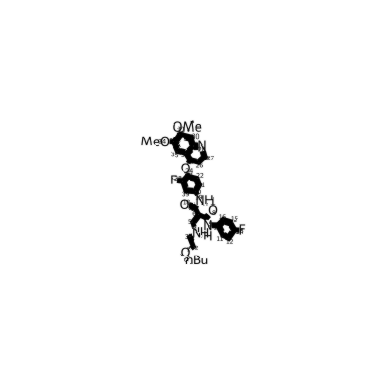 CCCCOCCN/C=C(\C(=O)Nc1ccc(F)cc1)C(=O)Nc1ccc(Oc2ccnc3cc(OC)c(OC)cc23)c(F)c1